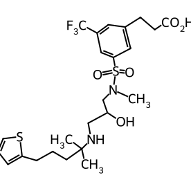 CN(CC(O)CNC(C)(C)CCCc1cccs1)S(=O)(=O)c1cc(CCC(=O)O)cc(C(F)(F)F)c1